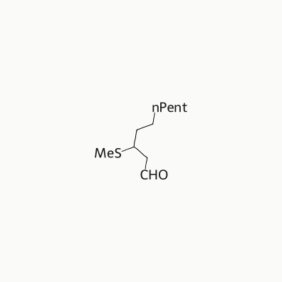 CCCCCCCC(CC=O)SC